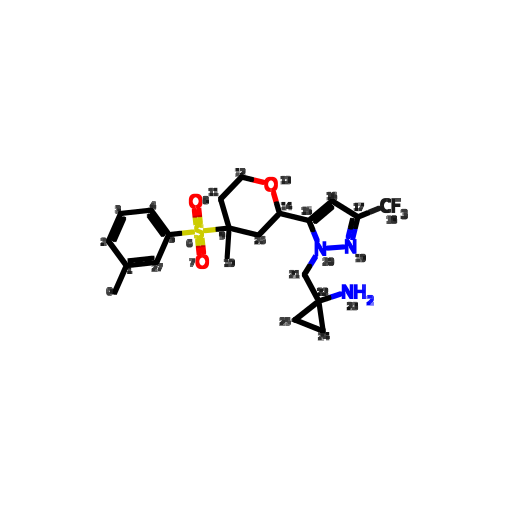 Cc1cccc(S(=O)(=O)C2(C)CCOC(c3cc(C(F)(F)F)nn3CC3(N)CC3)C2)c1